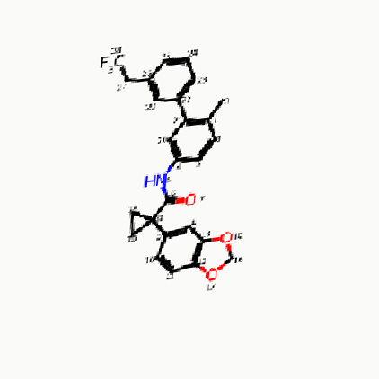 Cc1ccc(NC(=O)C2(c3ccc4c(c3)OCO4)CC2)cc1-c1cccc(CC(F)(F)F)c1